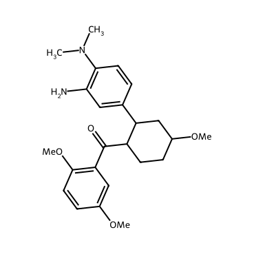 COc1ccc(OC)c(C(=O)C2CCC(OC)CC2c2ccc(N(C)C)c(N)c2)c1